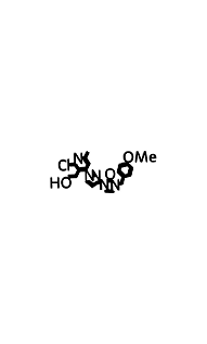 COc1ccc(CN2CCN(c3ccn(-c4cc(C)nc(Cl)c4CCO)n3)C2=O)cc1